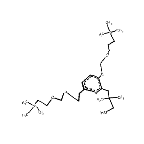 CC(C)(CO)Cc1nc(COCOCC[Si](C)(C)C)ccc1OCOCC[Si](C)(C)C